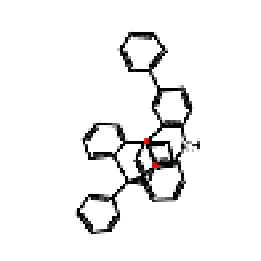 c1ccc(-c2ccc3c(c2)C24c5ccccc5C(c5ccccc5)(c5ccccc52)c2cccc(c24)N3)cc1